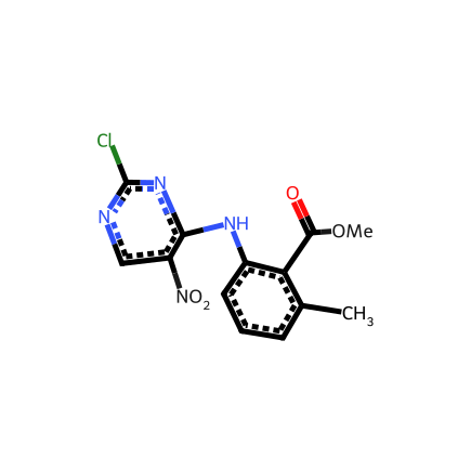 COC(=O)c1c(C)cccc1Nc1nc(Cl)ncc1[N+](=O)[O-]